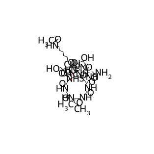 CC[C@H](C)[C@@H]1NC(=O)CNC(=O)C2Cc3c([nH]c4cc(OCCCCCCNC(C)=O)ccc34)[S+]([O-])CC(NC(=O)CNC1=O)C(=O)N[C@@H](CC(N)=O)C(=O)N1CC(O)C[C@H]1C(=O)N[C@@H]([C@@H](C)[C@@H](O)CO)C(=O)N2